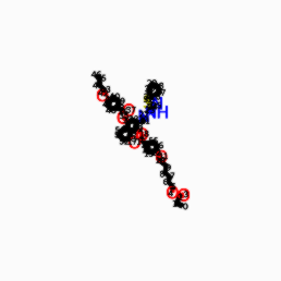 C=CC(=O)OCCCCCCOc1ccc(C(=O)Oc2c(/C=N/Nc3nc4ccccc4s3)cc(OC(=O)c3ccc(OCCCC)cc3)c3ccccc23)cc1